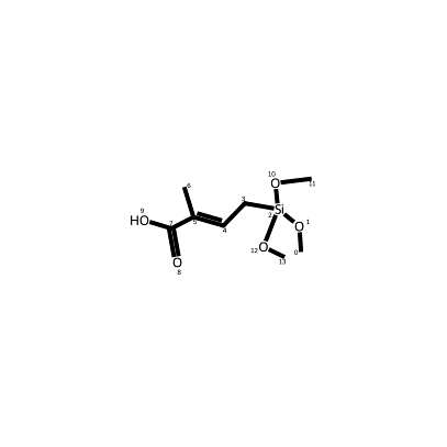 CO[Si](C/C=C(\C)C(=O)O)(OC)OC